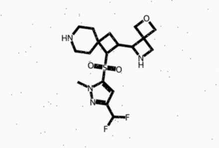 Cn1nc(C(F)F)cc1S(=O)(=O)C1C(C2NCC23COC3)CC12CCNCC2